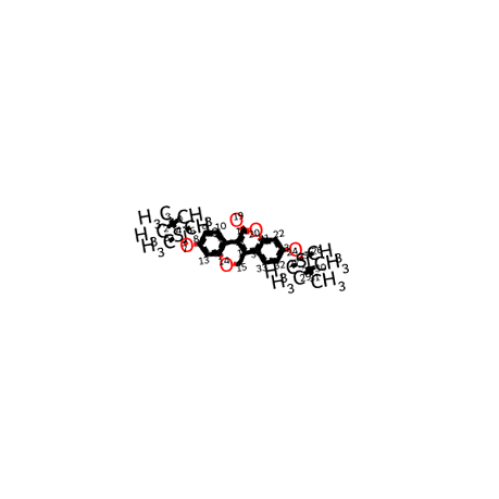 CC(C)(C)[Si](C)(C)Oc1ccc2c(c1)OCc1c-2c(=O)oc2cc(O[Si](C)(C)C(C)(C)C)ccc12